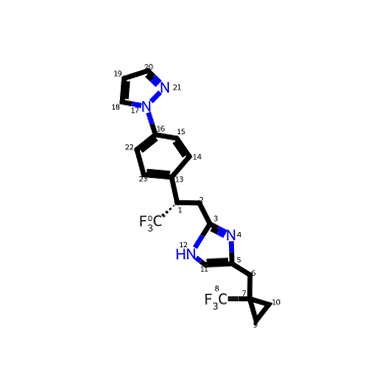 FC(F)(F)[C@@H](Cc1nc(CC2(C(F)(F)F)CC2)c[nH]1)c1ccc(-n2cccn2)cc1